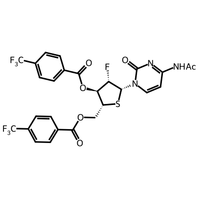 CC(=O)Nc1ccn([C@@H]2S[C@H](COC(=O)c3ccc(C(F)(F)F)cc3)[C@@H](OC(=O)c3ccc(C(F)(F)F)cc3)[C@@H]2F)c(=O)n1